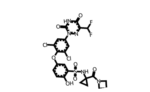 O=C(N1CCC1)C1(NS(=O)(=O)c2cc(Oc3c(Cl)cc(-n4nc(C(F)F)c(=O)[nH]c4=O)cc3Cl)ccc2O)CC1